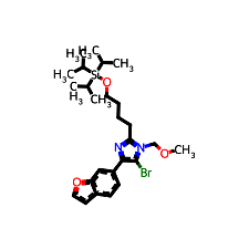 COCn1c(CCCCO[Si](C(C)C)(C(C)C)C(C)C)nc(-c2ccc3ccoc3c2)c1Br